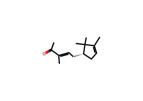 CC(=O)/C(C)=C/C[C@H]1CC=C(C)C1(C)C